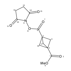 COC(=O)C12CC(C(=O)ON3C(=O)CCC3=O)(C1)C2